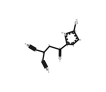 N#CC(C#N)CC(=O)c1ccc(Cl)s1